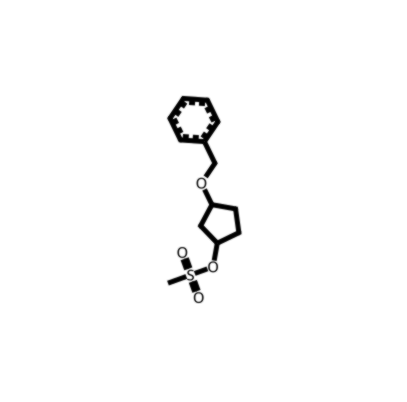 CS(=O)(=O)OC1CCC(OCc2ccccc2)C1